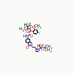 COc1c([C@H]2[C@H](C(=O)Nc3ccc4c(c3)CN(CCC3CCN3C(=O)OC(C)(C)C)C4=O)O[C@@](C)(C(F)(F)F)[C@H]2OC)ccc(F)c1F